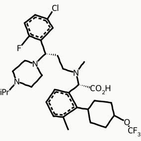 Cc1cccc([C@@H](C(=O)O)N(C)CC[C@@H](c2cc(Cl)ccc2F)N2CCN(C(C)C)CC2)c1C1CCC(OC(F)(F)F)CC1